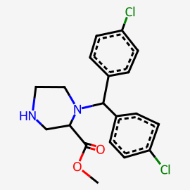 COC(=O)C1CNCCN1C(c1ccc(Cl)cc1)c1ccc(Cl)cc1